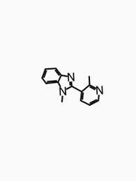 Cc1ncccc1-c1nc2ccccc2n1C